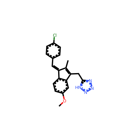 COc1ccc2c(c1)C(Cc1nnn[nH]1)=C(C)C2=Cc1ccc(Cl)cc1